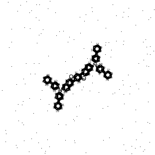 c1cc(N(c2ccc(C3CCCCC3)cc2)c2ccc3cc4c(cc3c2)oc2cc3c(cc24)oc2cc4cc(N(c5ccc(C6CCCCC6)cc5)c5ccc(C6CCCCC6)cc5)ccc4cc23)ccc1C1CCCCC1